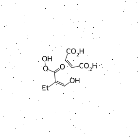 CCC(=CO)C(=O)OO.O=C(O)/C=C\C(=O)O